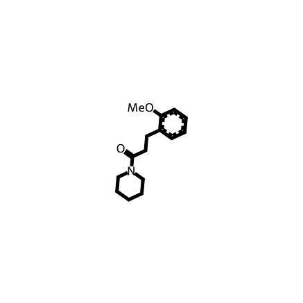 COc1ccccc1CCC(=O)N1CCCCC1